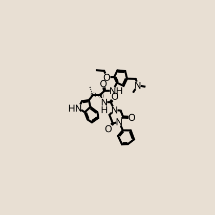 CCOc1ccc(CN(C)C)cc1NC(=O)[C@H](NC(=O)N1CC(=O)N(c2ccccc2)C(=O)C1)[C@@H](C)c1c[nH]c2ccccc12